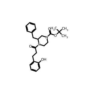 CC(C)(C)OC(=O)N1CCN(C(=O)CCc2ccccc2O)C(Cc2ccccc2)C1